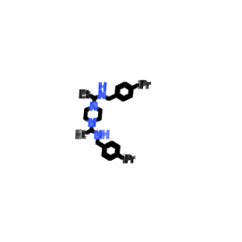 CCC(NCc1ccc(C(C)C)cc1)N1CCN(C(CC)NCc2ccc(C(C)C)cc2)CC1